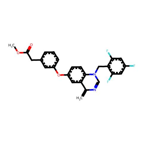 C=C1N=CN(Cc2c(F)cc(F)cc2F)c2ccc(Oc3cccc(CC(=O)OC)c3)cc21